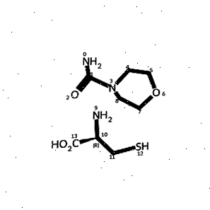 NC(=O)N1CCOCC1.N[C@@H](CS)C(=O)O